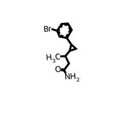 CC(CC(N)=O)C1CC1c1cccc(Br)c1